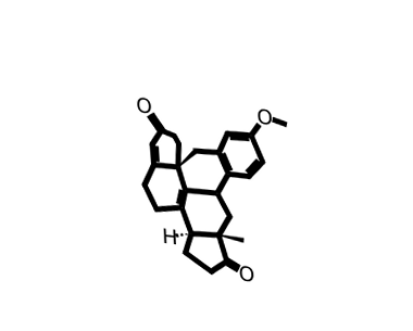 COc1ccc2c(c1)C[C@]13CCC(=O)C=C1CCC1=C3C2C[C@]2(C)C(=O)CC[C@@H]12